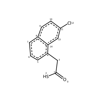 O=C(S)Cc1cccc2ccc(Cl)cc12